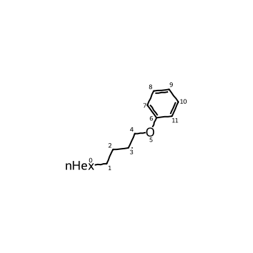 CCCCCCCC[CH]COc1ccccc1